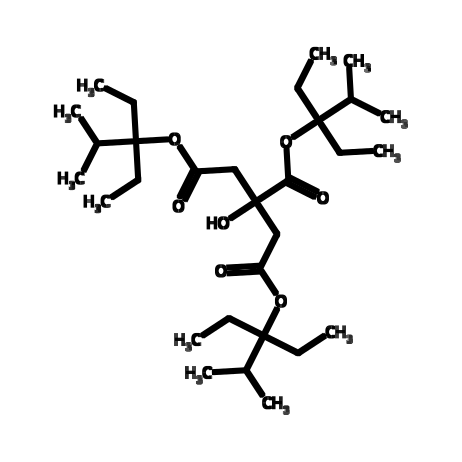 CCC(CC)(OC(=O)CC(O)(CC(=O)OC(CC)(CC)C(C)C)C(=O)OC(CC)(CC)C(C)C)C(C)C